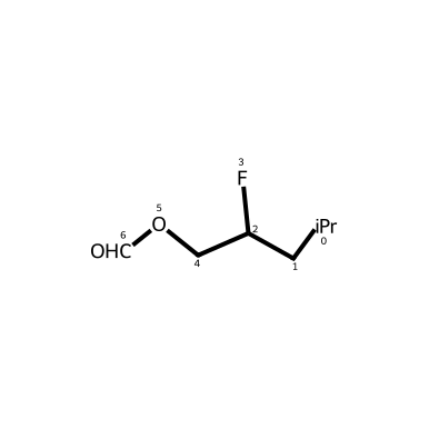 CC(C)CC(F)COC=O